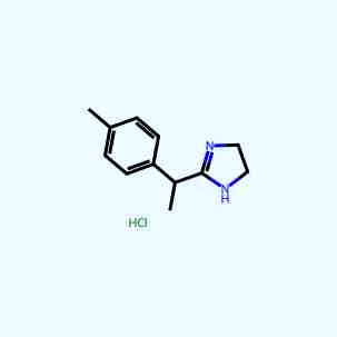 Cc1ccc(C(C)C2=NCCN2)cc1.Cl